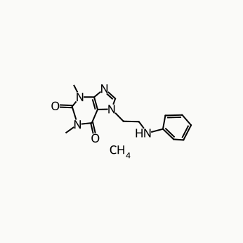 C.Cn1c(=O)c2c(ncn2CCNc2ccccc2)n(C)c1=O